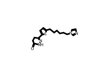 O=C1CCC(c2ccc(CCCCCCn3ccnc3)s2)=NN1